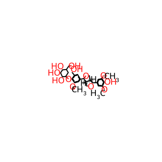 COc1cc(C2OC[C@@H]3C(c4cc(CO)c(OC5CC(CO)C(O)C(O)C5O)c(OC)c4)OC[C@H]23)cc(OC)c1O